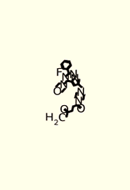 C=CC(=O)CCC(=O)N1CCN(Cc2cc3c(N4CCOCC4)nc(-c4ccccc4F)nn3c2)CC1